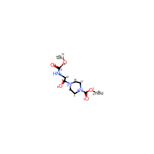 CCCCOC(=O)N1CCN(C(=O)CNC(=O)OC(C)(C)C)CC1